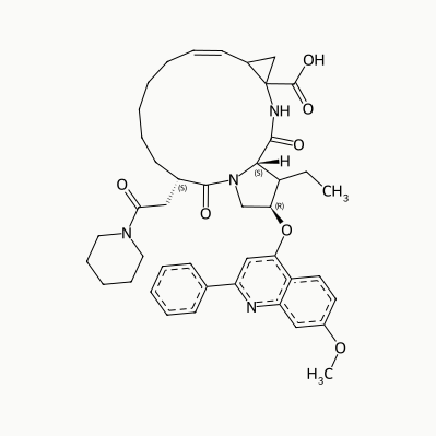 CCC1[C@@H](Oc2cc(-c3ccccc3)nc3cc(OC)ccc23)CN2C(=O)[C@H](CC(=O)N3CCCCC3)CCCCCC=CC3CC3(C(=O)O)NC(=O)[C@H]12